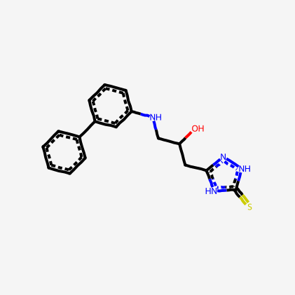 OC(CNc1cccc(-c2ccccc2)c1)Cc1n[nH]c(=S)[nH]1